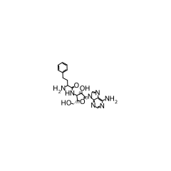 Nc1ncnc2c1ncn2[C@@H]1O[C@H](CO)C(NC(=O)C(N)CCc2ccccc2)[C@@H]1O